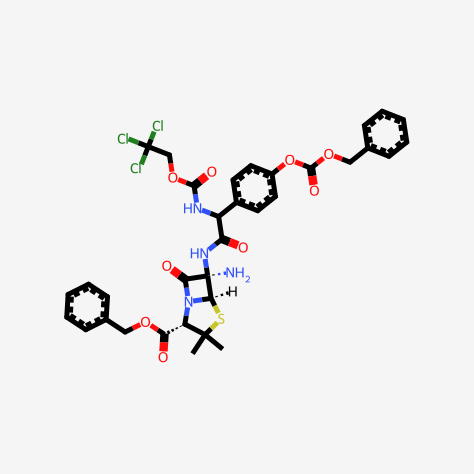 CC1(C)S[C@H]2N(C(=O)[C@@]2(N)NC(=O)C(NC(=O)OCC(Cl)(Cl)Cl)c2ccc(OC(=O)OCc3ccccc3)cc2)[C@H]1C(=O)OCc1ccccc1